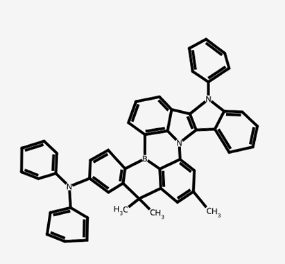 Cc1cc2c3c(c1)C(C)(C)c1cc(N(c4ccccc4)c4ccccc4)ccc1B3c1cccc3c1n-2c1c2ccccc2n(-c2ccccc2)c31